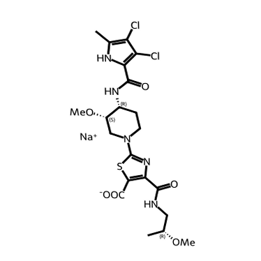 CO[C@H](C)CNC(=O)c1nc(N2CC[C@@H](NC(=O)c3[nH]c(C)c(Cl)c3Cl)[C@@H](OC)C2)sc1C(=O)[O-].[Na+]